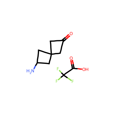 NC1CC2(CC(=O)C2)C1.O=C(O)C(F)(F)F